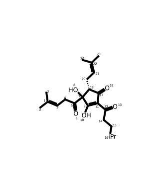 CC(C)=CCC(=O)C1(O)C(O)=C(C(=O)CCC(C)C)C(=O)[C@H]1CC=C(C)C